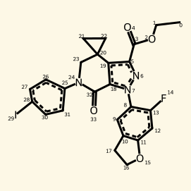 CCOC(=O)c1nn(-c2cc3c(cc2F)OCC3)c2c1C1(CC1)CN(c1ccc(I)cc1)C2=O